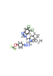 CC(CNc1ccc(OC(F)F)cc1)N(C(=O)O)C(CC1CCCC1)Cn1cnc2cc(Cl)c(Cl)cc21